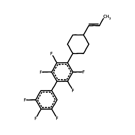 C/C=C/C1CCC(c2c(F)c(F)c(-c3cc(F)c(F)c(F)c3)c(F)c2F)CC1